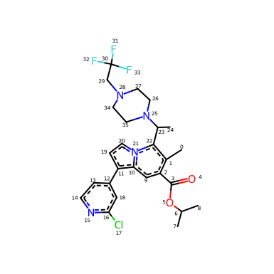 Cc1c(C(=O)OC(C)C)cc2c(-c3ccnc(Cl)c3)ccn2c1C(C)N1CCN(CC(F)(F)F)CC1